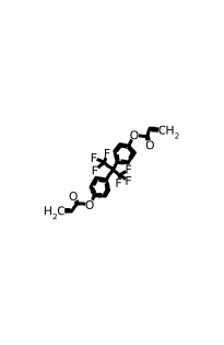 C=CC(=O)Oc1ccc(C(c2ccc(OC(=O)C=C)cc2)(C(F)(F)F)C(F)(F)F)cc1